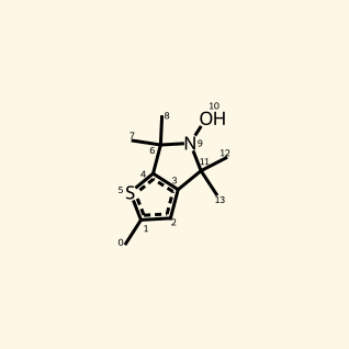 Cc1cc2c(s1)C(C)(C)N(O)C2(C)C